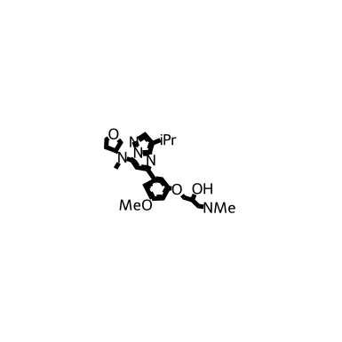 CNCC(O)COc1cc(OC)cc(-c2cc(N(C)[C@H]3CCOC3)n3ncc(C(C)C)c3n2)c1